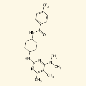 Cc1nc(NC2CCC(NC(=O)c3ccc(C(F)(F)F)cc3)CC2)nc(N(C)C)c1C